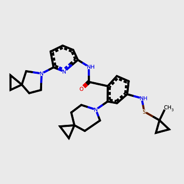 CC1(SNc2ccc(C(=O)Nc3cccc(N4CCC5(CC5)C4)n3)c(N3CCC4(CC3)CC4)c2)CC1